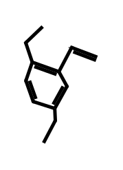 C=[C]c1cc(CC)ccc1CC